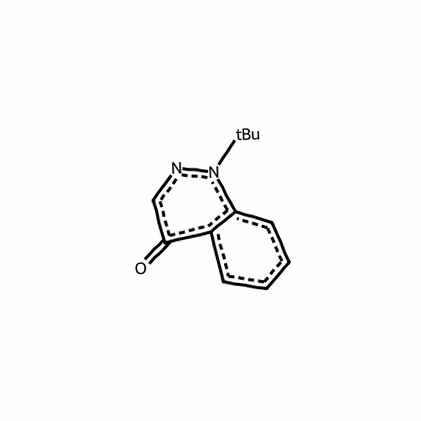 CC(C)(C)n1ncc(=O)c2ccccc21